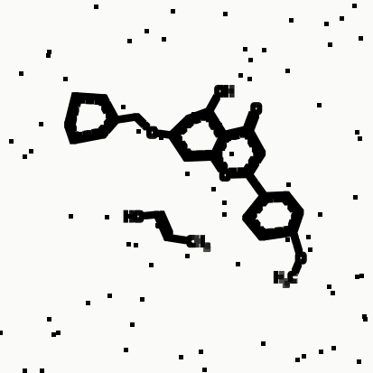 CC=CO.COc1ccc(-c2cc(=O)c3c(O)cc(OCc4ccccc4)cc3o2)cc1